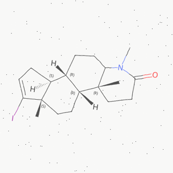 CN1C(=O)CC[C@@]2(C)C1CC[C@@H]1[C@H]2CC[C@]2(C)C(I)=CC[C@@H]12